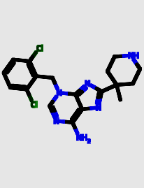 CC1(c2nc3c(N)ncn(Cc4c(Cl)cccc4Cl)c-3n2)CCNCC1